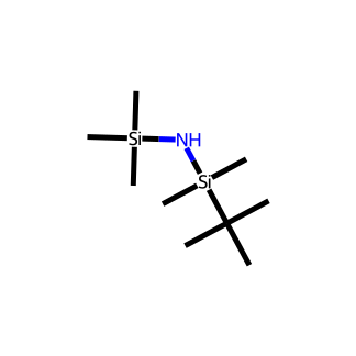 CC(C)(C)[Si](C)(C)N[Si](C)(C)C